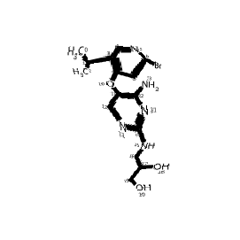 CC(C)c1cnc(Br)cc1Oc1cnc(NCC(O)CO)nc1N